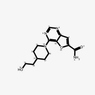 NC(=O)c1cc2ncnc(N3CCC(CCO)CC3)c2o1